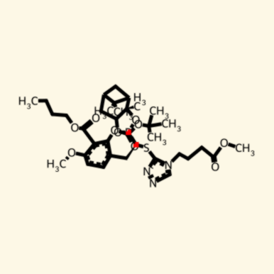 CCCCOC(=O)c1c(OC)ccc(C[C@H](Sc2nncn2CCCC(=O)OC)B2OC3CC4CC(C4(C)C)[C@]3(C)O2)c1OC(=O)OC(C)(C)C